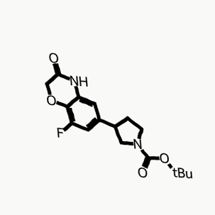 CC(C)(C)OC(=O)N1CCC(c2cc(F)c3c(c2)NC(=O)CO3)C1